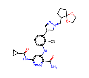 N#Cc1c(Nc2cc(NC(=O)C3CC3)nnc2C(N)=O)cccc1C1=C/[N+](=C/C2CCCC23OCCO3)N=C1